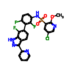 COc1ncc(Cl)cc1S(=O)(=O)Nc1ccc(F)c(-c2ccc3c(-c4ccccn4)n[nH]c3c2F)c1F